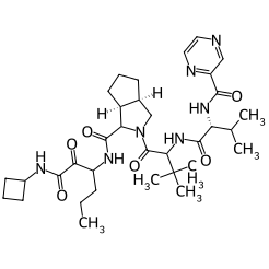 CCCC(NC(=O)C1[C@H]2CCC[C@H]2CN1C(=O)C(NC(=O)[C@H](NC(=O)c1cnccn1)C(C)C)C(C)(C)C)C(=O)C(=O)NC1CCC1